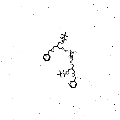 CC(C)(C)[Si](C)(C)OCC(COCc1ccccc1)CSCO[PH](=O)OCSCC(COCc1ccccc1)CO[Si](C)(C)C(C)(C)C